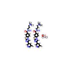 CCN(CC)CCCNC(=O)c1ccc2c(c1)sc1nc(-c3cncc(C)c3)cn12.CCN(CC)CCCNC(=O)c1ccc2c(c1)sc1nc(-c3cncc(C)c3)cn12.O=CO